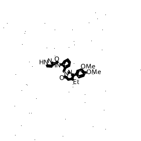 CCC1CC(=O)N(Cc2ccccc2NC(=O)c2cc[nH]n2)N=C1c1ccc(OC)c(OC)c1